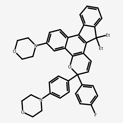 CCC1(CC)c2ccccc2-c2c1c1c(c3cc(N4CCOCC4)ccc23)OC(c2ccc(F)cc2)(c2ccc(N3CCOCC3)cc2)C=C1